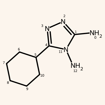 Nc1nnc(C2CCCCC2)n1N